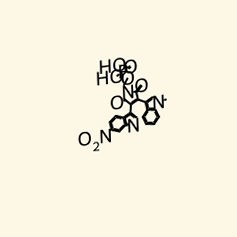 Cn1cc(C2=C(c3cn(C)c4cc([N+](=O)[O-])ccc34)C(=O)N(COP(=O)(O)O)C2=O)c2ccccc21